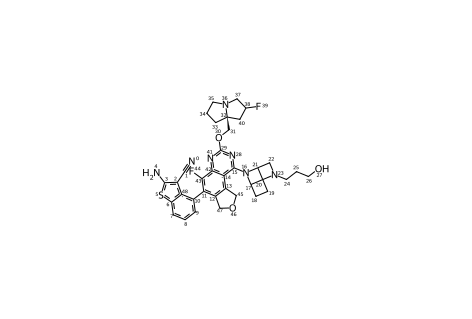 N#Cc1c(N)sc2cccc(-c3c4c(c5c(N6C7CCC78C6CN8CCCO)nc(OC[C@@]67CCCN6CC(F)C7)nc5c3F)COC4)c12